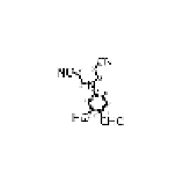 N#CCCN(CCC#N)c1ccc(C=O)c(O)c1